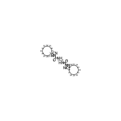 N#CC1(/N=N/C(=O)NCCNC(=O)/N=N/C2(C#N)CCCCCCCCCCC2)CCCCCCCCCCC1